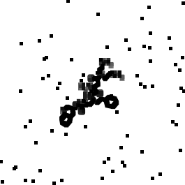 NCCN(CCN)C(=O)C[C@H](N)C(=O)N[C@@H](CCc1ccccc1)CNC(=O)Oc1cnc2ccccc2c1